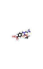 CN(C)CCN(Cc1ccc(C(=O)O)cc1)C(=O)OC(C)(C)C